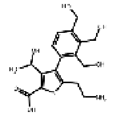 CC(O)c1c(C(=O)O)[nH]c(CCN)c1-c1ccc(CO)c(CO)c1CO